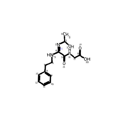 CC(O)/N=C(/NCCc1ccccc1)C(=O)NCC(=O)O